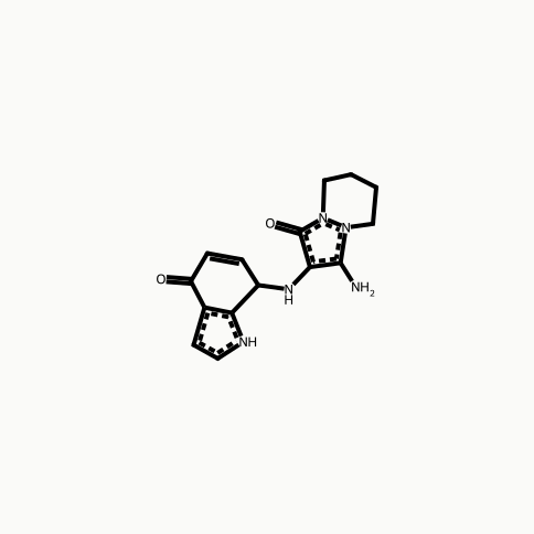 Nc1c(NC2C=CC(=O)c3cc[nH]c32)c(=O)n2n1CCCC2